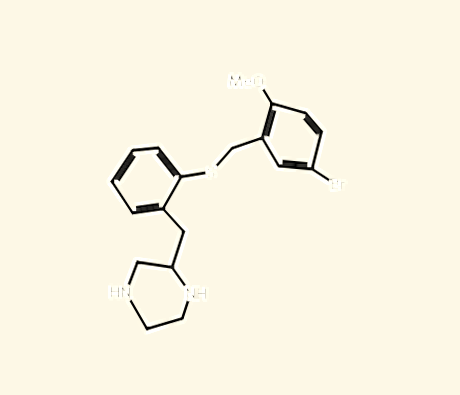 COc1ccc(Br)cc1CSc1ccccc1CC1CNCCN1